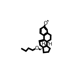 CCCCOC[C@]12CC=C3c4ccc(OC)cc4CC[C@H]3[C@@H]1CCC2